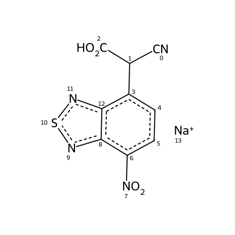 N#CC(C(=O)O)c1ccc([N+](=O)[O-])c2nsnc12.[Na+]